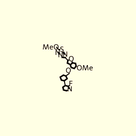 COc1cc(OCc2cccc(-c3cccnc3F)c2)c2cc(-c3cn4nc(OC)sc4n3)oc2c1